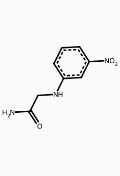 NC(=O)CNc1cccc([N+](=O)[O-])c1